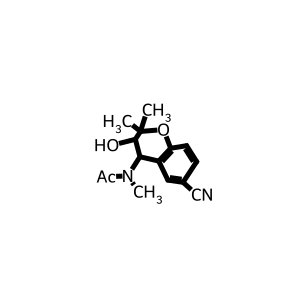 CC(=O)N(C)C1c2cc(C#N)ccc2OC(C)(C)C1O